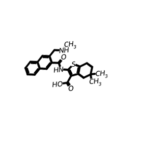 CNCc1cc2ccccc2cc1C(=O)Nc1sc2c(c1C(=O)O)CC(C)(C)CC2